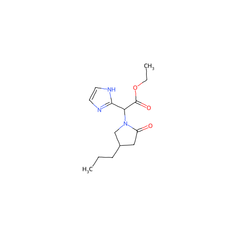 CCCC1CC(=O)N(C(C(=O)OCC)c2ncc[nH]2)C1